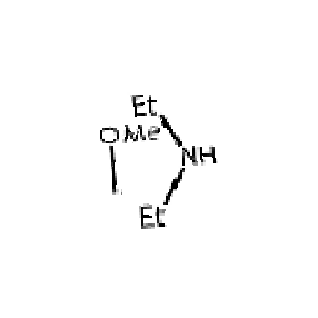 CCNCC.[CH2]OC